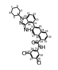 Nc1nn(C2CCCCC2)c2cccc(-c3ccc4c(C(=O)Nc5cc(Cl)cc(Cl)c5)cccc4c3)c12